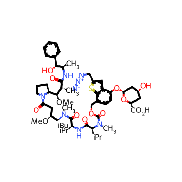 CC[C@H](C)[C@@H]([C@@H](CC(=O)N1CCC[C@H]1[C@H](OC)[C@@H](C)C(=O)N[C@H](C)[C@@H](O)c1ccccc1)OC)N(C)C(=O)[C@@H](NC(=O)[C@H](C(C)C)N(C)C(=O)OCc1ccc(O[C@H]2C[C@@H](O)C[C@@H](C(=O)O)O2)c2cc(CN=[N+]=[N-])sc12)C(C)C